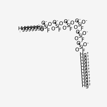 [Hg+].[Hg+].[Hg+].[Hg+].[Hg+].[Hg+].[Hg+].[Hg+].[Hg+].[Hg+].[Hg+].[Hg+].[Hg+].[Hg+].[Hg+].[Hg+].[Hg+].[Hg+].[O-][Si]([O-])([O-])F.[O-][Si]([O-])([O-])F.[O-][Si]([O-])([O-])F.[O-][Si]([O-])([O-])F.[O-][Si]([O-])([O-])F.[O-][Si]([O-])([O-])F